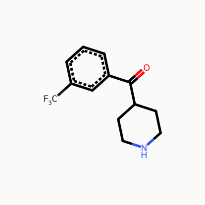 O=C(c1cccc(C(F)(F)F)c1)C1CCNCC1